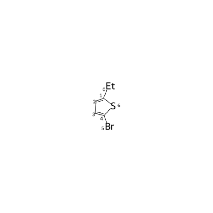 [CH2]Cc1ccc(Br)s1